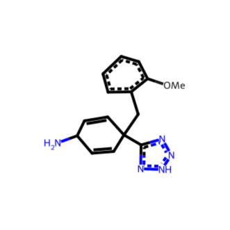 COc1ccccc1CC1(c2nn[nH]n2)C=CC(N)C=C1